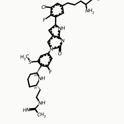 CSc1cc(-n2cc3cc(-c4cc(CCCC(N)C5CC5)cc(Cl)c4F)[nH]c3nc2=O)cc(F)c1[C@@H]1CCC[C@@H](CCNC(C)=N)N1